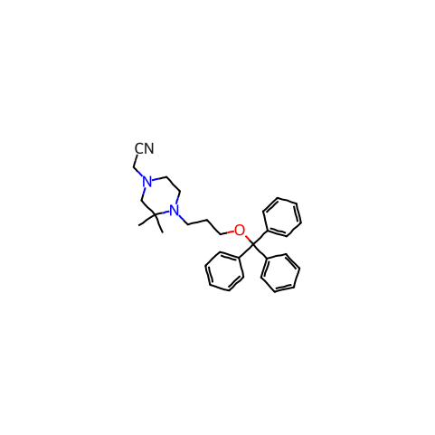 CC1(C)CN(CC#N)CCN1CCCOC(c1ccccc1)(c1ccccc1)c1ccccc1